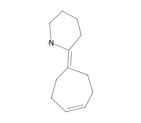 C1=CCCC(=C2CCCC[N]2)CC1